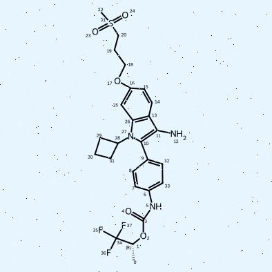 C[C@@H](OC(=O)Nc1ccc(-c2c(N)c3ccc(OCCCS(C)(=O)=O)cc3n2C2CCC2)cc1)C(F)(F)F